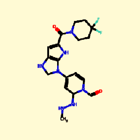 CNNC1C=C(N2CNc3cc(C(=O)N4CCC(F)(F)CC4)[nH]c32)C=CN1C=O